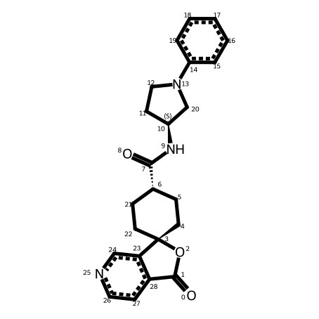 O=C1O[C@]2(CC[C@@H](C(=O)N[C@H]3CCN(c4ccccc4)C3)CC2)c2cnccc21